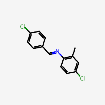 Cc1cc(Cl)ccc1N=Cc1ccc(Cl)cc1